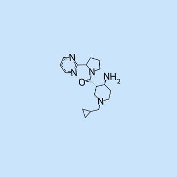 N[C@H]1CCN(CC2CC2)C[C@@H]1C(=O)N1CCCC1c1ncccn1